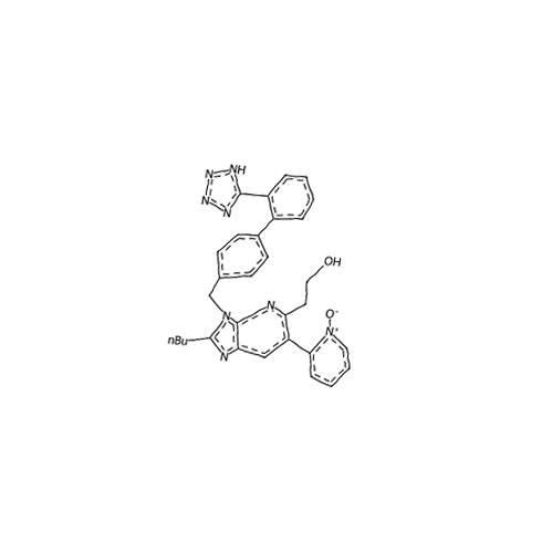 CCCCc1nc2cc(-c3cccc[n+]3[O-])c(CCO)nc2n1Cc1ccc(-c2ccccc2-c2nnn[nH]2)cc1